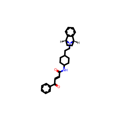 O=C(C=CC(=O)c1ccccc1)NC1CCC(CCN2[C@@H]3CC[C@H]2c2ccccc23)CC1